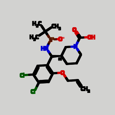 C=CCOc1cc(Cl)c(Cl)cc1C(N[S+]([O-])C(C)(C)C)[C@@H]1CCCN(C(=O)O)C1